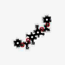 Cc1cc(-c2cc(C)c(OCC(C)COc3ccccc3)c(C)c2)cc(C)c1OCC(C)COc1ccccc1